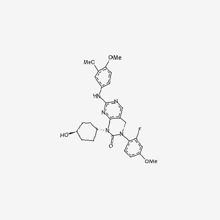 COc1ccc(N2Cc3cnc(Nc4ccc(OC)c(OC)c4)nc3N([C@H]3CC[C@H](O)CC3)C2=O)c(F)c1